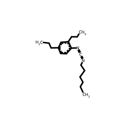 CCCCCCN=C=Nc1ccc(CCC)cc1CCC